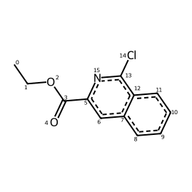 CCOC(=O)c1cc2ccccc2c(Cl)n1